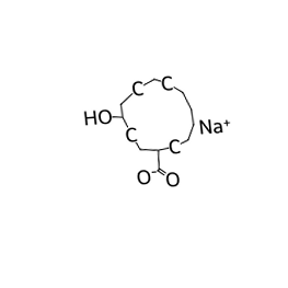 O=C([O-])C1CCCCCCCCCC(O)CC1.[Na+]